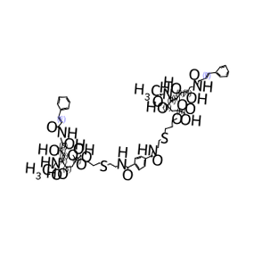 CC(=O)N[C@H]1[C@H]([C@H](O)[C@H](O)CNC(=O)/C=C/c2ccccc2)O[C@@](OCCCSCCNC(=O)c2ccc(C(=O)NCCSCCCO[C@]3(C(=O)O)C[C@H](O)[C@@H](NC(C)=O)[C@H]([C@H](O)[C@@H](O)CNC(=O)/C=C/c4ccccc4)O3)cc2)(C(=O)O)C[C@@H]1O